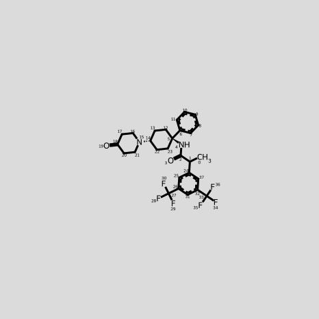 CC(C(=O)N[C@]1(c2ccccc2)CC[C@@H](N2CCC(=O)CC2)CC1)c1cc(C(F)(F)F)cc(C(F)(F)F)c1